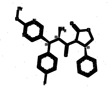 CC(C)Oc1ncc([C@H](c2ccc(F)cc2)[C@H](N)C(=O)N2C(=O)OC[C@@H]2c2ccccc2)cn1